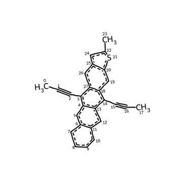 CC#Cc1c2cc3ccccc3cc2c(C#CC)c2cc3sc(C)cc3cc12